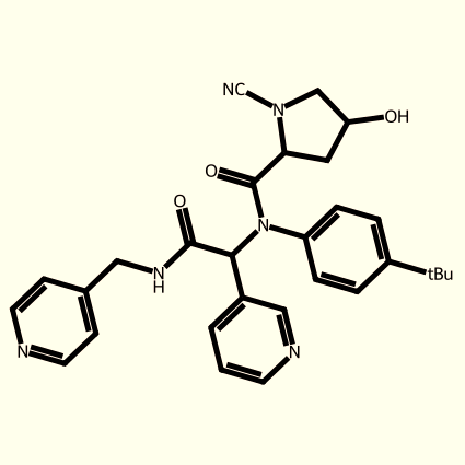 CC(C)(C)c1ccc(N(C(=O)C2CC(O)CN2C#N)C(C(=O)NCc2ccncc2)c2cccnc2)cc1